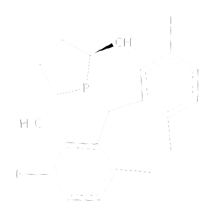 C[C@@H]1CC[C@@H](C)P1C1c2cc(I)ccc2C=Cc2ccc(I)cc21